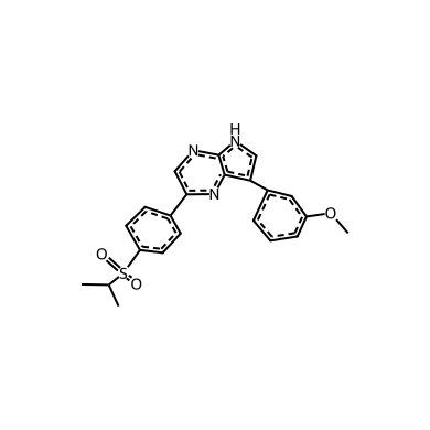 COc1cccc(-c2c[nH]c3ncc(-c4ccc(S(=O)(=O)C(C)C)cc4)nc23)c1